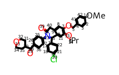 COc1ccc(COc2cc3c(cc2OC(C)C)C(c2ccc(Cl)cc2)N(c2ccc(C(=O)C4CCOCC4)cc2)C(=O)C3)cc1